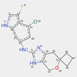 Fc1c[nH]c2cc(Nc3nc4c([nH]3)COC3(CCC3)C4)cc(Cl)c12